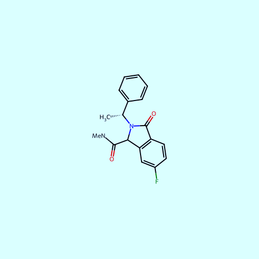 CNC(=O)C1c2cc(F)ccc2C(=O)N1[C@H](C)c1ccccc1